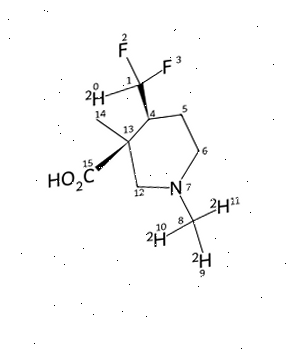 [2H]C(F)(F)[C@H]1CCN(C([2H])([2H])[2H])C[C@@]1(C)C(=O)O